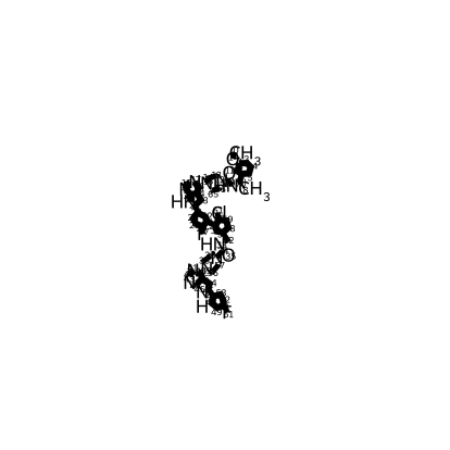 COc1cccc([C@@H](C)NC(=O)N2CCN(c3ncnc4[nH]c(-c5ccc(F)c(-c6cc(CNC(=O)N7CCN(c8ncnc9[nH]c(-c%10ccc(F)cc%10)cc89)CC7)ccc6Cl)c5)cc34)CC2)c1